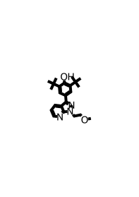 COCCn1nc(-c2cc(C(C)(C)C)c(O)c(C(C)(C)C)c2)c2cccnc21